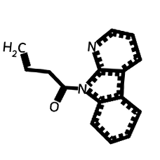 C=CCC(=O)n1c2ccccc2c2cccnc21